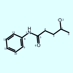 CC([O])CCC(=O)Nc1ccccc1